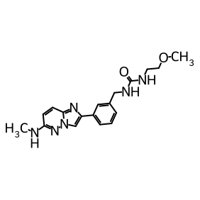 CNc1ccc2nc(-c3cccc(CNC(=O)NCCOC)c3)cn2n1